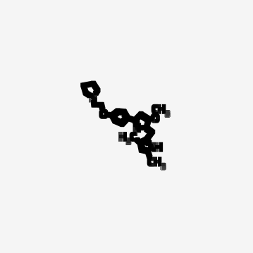 COC1=CC(c2ccc(OCCN3CCCC3)cc2)=N/C1=C\c1[nH]c(C)cc1C